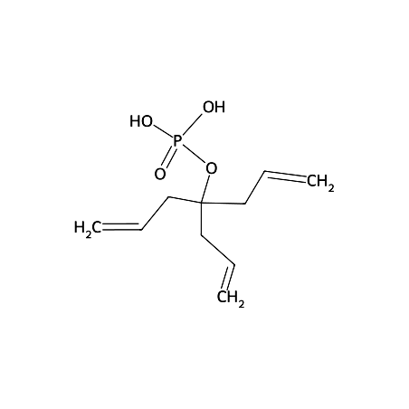 C=CCC(CC=C)(CC=C)OP(=O)(O)O